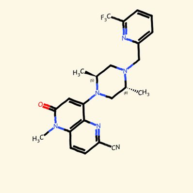 C[C@@H]1CN(c2cc(=O)n(C)c3ccc(C#N)nc23)[C@@H](C)CN1Cc1cccc(C(F)(F)F)n1